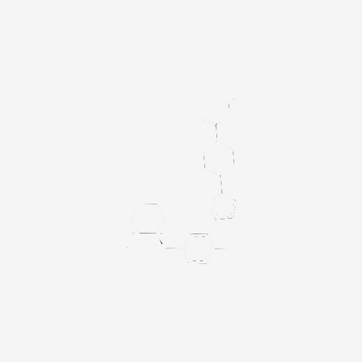 CC(C)(C)OC(=O)N1CCC(c2ncc(-c3nc(N[C@@H]4CCOC[C@H]4O)ncc3F)s2)CC1